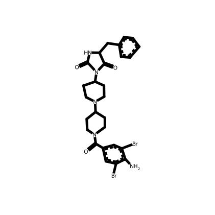 Nc1c(Br)cc(C(=O)N2CCC(N3CCC(N4C(=O)NC(Cc5ccccc5)C4=O)CC3)CC2)cc1Br